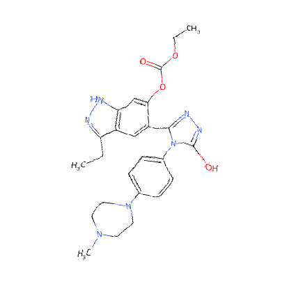 CCOC(=O)Oc1cc2[nH]nc(CC)c2cc1-c1nnc(O)n1-c1ccc(N2CCN(C)CC2)cc1